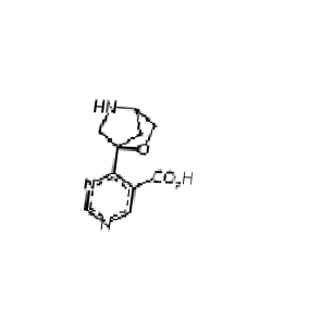 O=C(O)c1cn[c]nc1C12CNC(CO1)C2